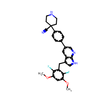 COc1cc(OC)c(F)c(Cc2c[nH]c3ncc(-c4ccc(C5(C#N)CCNCC5)cc4)cc23)c1F